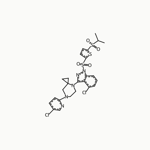 CC(C)S(=O)(=O)c1ccc(S(=O)(=O)n2nc(N3CCN(c4ccc(Cl)cn4)CC34CC4)c3c(Cl)cccc32)s1